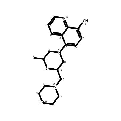 CC1CN(c2ccc(C#N)c3ncccc23)CC(CN2CCNCC2)O1